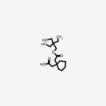 CCC(CO)(CO)COC(=O)CC1(CC(=O)O)CCCCC1